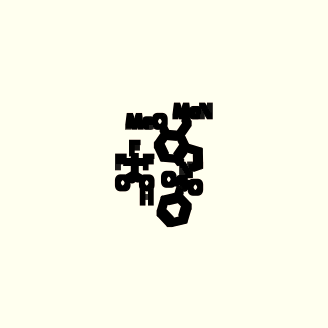 CNCc1c(OC)ccc2c1ccn2S(=O)(=O)c1ccccc1.O=C(O)C(F)(F)F